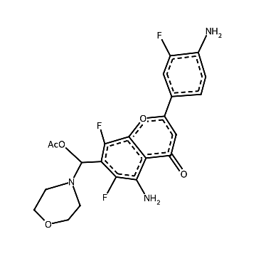 CC(=O)OC(c1c(F)c(N)c2c(=O)cc(-c3ccc(N)c(F)c3)oc2c1F)N1CCOCC1